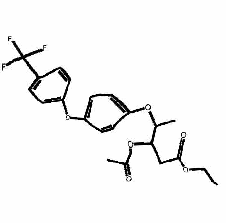 CCOC(=O)CC(OC(C)=O)C(C)Oc1ccc(Oc2ccc(C(F)(F)F)cc2)cc1